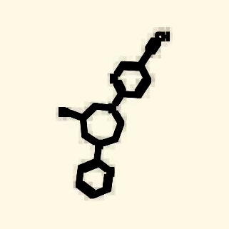 C#Cc1ccc(N2CCN(c3ccccn3)CC(CC)C2)nc1